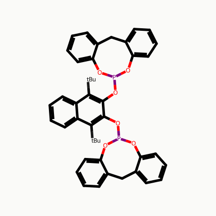 CC(C)(C)c1c(OP2Oc3ccccc3Cc3ccccc3O2)c(OP2Oc3ccccc3Cc3ccccc3O2)c(C(C)(C)C)c2ccccc12